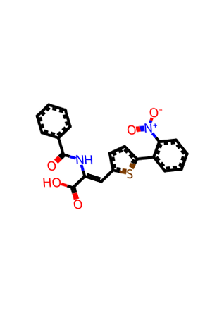 O=C(O)C(=Cc1ccc(-c2ccccc2[N+](=O)[O-])s1)NC(=O)c1ccccc1